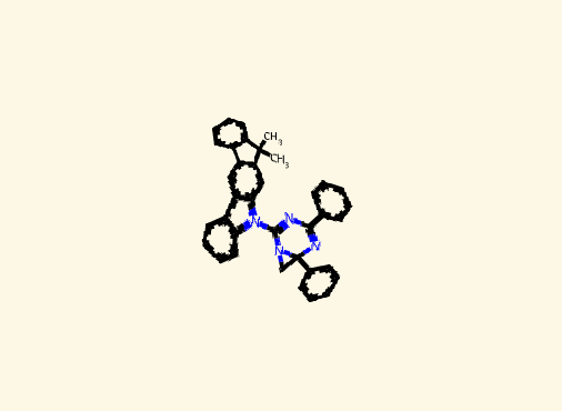 CC1(C)c2ccccc2-c2cc3c4ccccc4n(C4=NC(c5ccccc5)=NC5(c6ccccc6)CN45)c3cc21